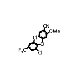 COc1cc(Oc2c(Cl)cc(C(F)(F)F)cc2Cl)ccc1C#N